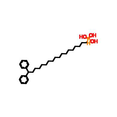 O[PH](O)(O)CCCCCCCCCCCCCCCCCC(c1ccccc1)c1ccccc1